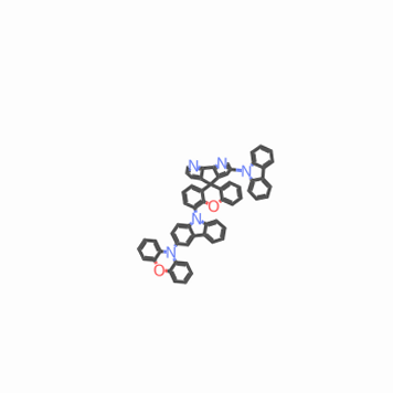 c1ccc2c(c1)Oc1ccccc1N2c1ccc2c(c1)c1ccccc1n2-c1cccc2c1Oc1ccccc1C21c2cccnc2-c2ncc(-n3c4ccccc4c4ccccc43)cc21